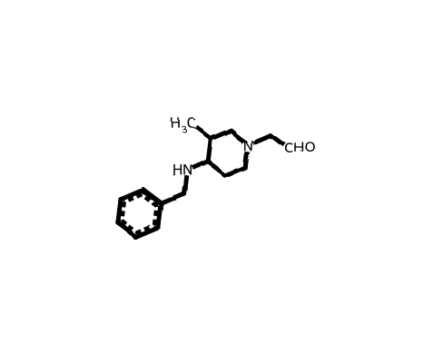 CC1CN(CC=O)CCC1NCc1ccccc1